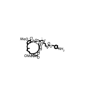 COc1cc2cc(c1Cl)N(C)C(=O)C[C@H](OC(=O)[C@H](C)N(C)C(=O)CCN(C)C(=O)OCc1ccc(N)cc1)[C@]1(C)O[C@H]1[C@H](C)[C@@H]1C[C@@](O)(NC(=O)O1)[C@H](OC)/C=C/C=C(\C)C2